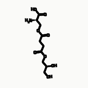 N[C@@H](COC(=O)CCC(=O)OCC(O)CO)C(=O)O